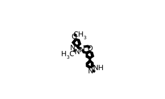 COc1ccc2c(N3CCOc4ccc(-c5ccc6nc[nH]c6c5)cc4C3)nc(C)nc2c1